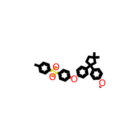 COc1ccc(C2(c3ccc(Oc4ccc(S(=O)(=O)c5ccc(C)cc5)cc4)cc3)CCC(C)(C)C2)cc1